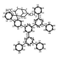 CC1CC2CC(C)C3(c4ccccc4-c4ccc(-c5cc(-c6nc(-c7ccccc7)nc(-c7ccccc7)n6)cc(-c6nc(-c7ccccc7)nc(-c7ccccc7)n6)n5)cc43)C(C1)C2